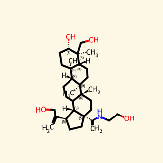 C=C(CO)[C@@H]1CC[C@]2(C(=C)NCCO)CC[C@]3(C)C(CC[C@@H]4[C@@]5(C)CC[C@H](O)[C@@](C)(CO)[C@@H]5CC[C@]43C)[C@@H]12